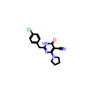 N#Cc1c(N2CCCC2)nc(Cc2ccc(Cl)cc2)[nH]c1=O